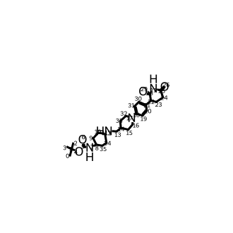 CC(C)(C)OC(=O)NC1CCC(NCC2CCN(c3ccc(C4CCC(=O)NC4=O)cc3)CC2)CC1